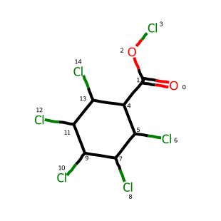 O=C(OCl)C1C(Cl)C(Cl)C(Cl)C(Cl)C1Cl